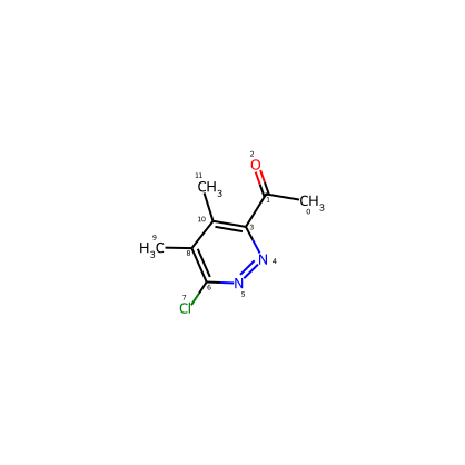 CC(=O)c1nnc(Cl)c(C)c1C